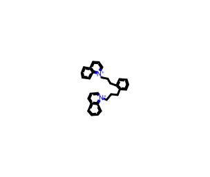 c1ccc(CCC[n+]2cccc3ccccc32)c(CCC[n+]2cccc3ccccc32)c1